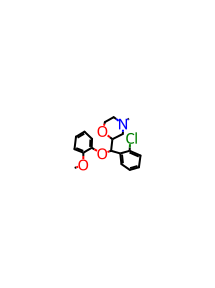 COc1ccccc1OC(c1ccccc1Cl)C1CN(C)CCO1